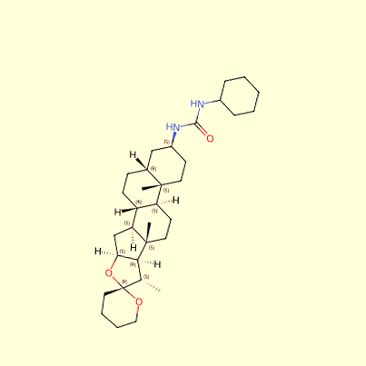 C[C@H]1[C@H]2[C@H](C[C@H]3[C@@H]4CC[C@@H]5C[C@@H](NC(=O)NC6CCCCC6)CC[C@]5(C)[C@H]4CC[C@]23C)O[C@]12CCCCO2